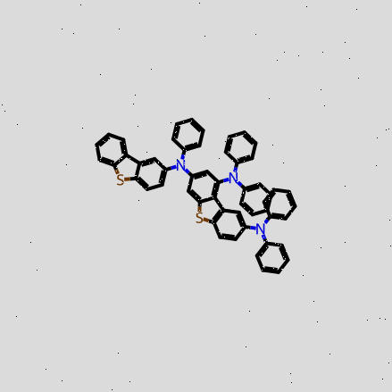 c1ccc(N(c2cc(N(c3ccccc3)c3ccccc3)c3c(c2)sc2ccc(N(c4ccccc4)c4ccccc4)cc23)c2ccc3sc4ccccc4c3c2)cc1